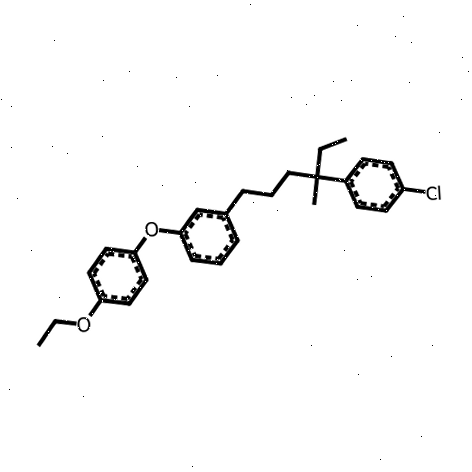 CCOc1ccc(Oc2cccc(CCCC(C)(CC)c3ccc(Cl)cc3)c2)cc1